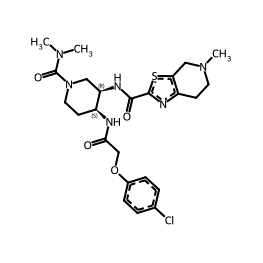 CN1CCc2nc(C(=O)N[C@@H]3CN(C(=O)N(C)C)CC[C@@H]3NC(=O)COc3ccc(Cl)cc3)sc2C1